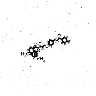 C[C@H]1[C@@H](NC(=O)COc2ccc(/C=C/C(=O)c3ccc(F)cc3)cc2)O[C@@H]2O[C@@]3(C)CC[C@H]4[C@H](C)CC[C@@H]1[C@@]24OO3